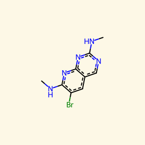 CNc1ncc2cc(Br)c(NC)nc2n1